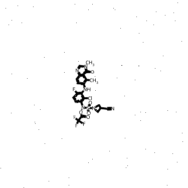 Cc1c(Nc2c(F)ccc(N(OC(=O)C(F)(F)F)S(=O)(=O)N3CC(C#N)C3)c2Cl)ccc2ncn(C)c(=O)c12